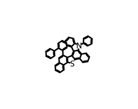 c1ccc(-c2ccccc2-c2cc3ccccc3c3sc4c5ccccc5c5c(c6ccccc6n5-c5ccccc5)c4c23)cc1